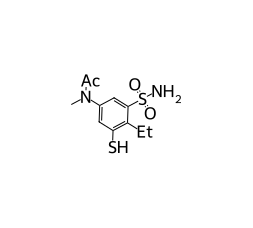 CCc1c(S)cc(N(C)C(C)=O)cc1S(N)(=O)=O